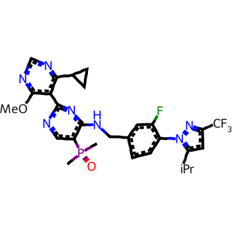 COc1ncnc(C2CC2)c1-c1ncc(P(C)(C)=O)c(NCc2ccc(-n3nc(C(F)(F)F)cc3C(C)C)c(F)c2)n1